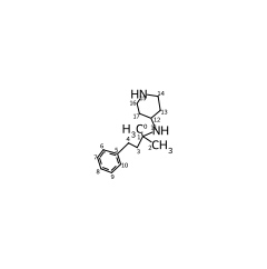 CC(C)(CCc1ccccc1)NC1CCNCC1